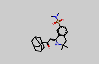 CN(C)S(=O)(=O)c1ccc2c(c1)/C(=C/C(=O)C13CC4CC(CC(C4)C1)C3)NC(C)(C)C2